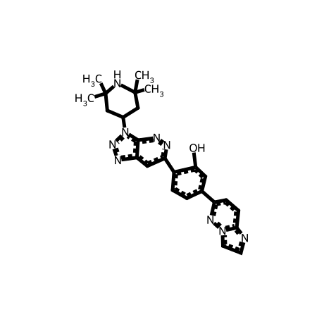 CC1(C)CC(n2nnc3cc(-c4ccc(-c5ccc6nccn6n5)cc4O)nnc32)CC(C)(C)N1